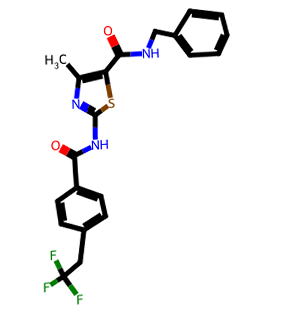 Cc1nc(NC(=O)c2ccc(CC(F)(F)F)cc2)sc1C(=O)NCc1ccccc1